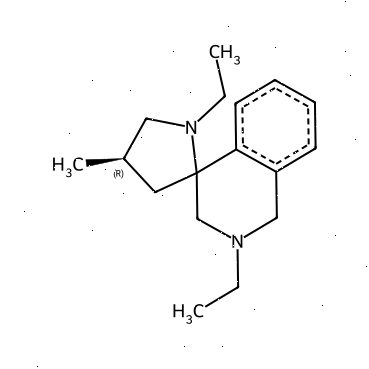 CCN1Cc2ccccc2C2(C[C@@H](C)CN2CC)C1